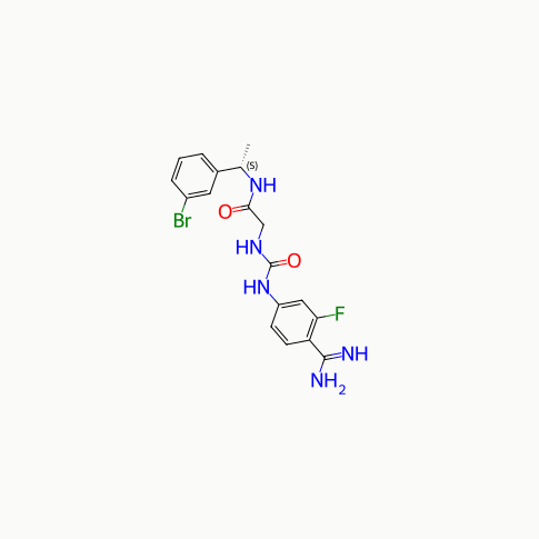 C[C@H](NC(=O)CNC(=O)Nc1ccc(C(=N)N)c(F)c1)c1cccc(Br)c1